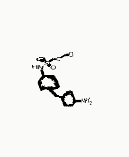 Nc1ccc(Cc2ccc(NS(=O)(=O)CCCCl)cc2)cc1